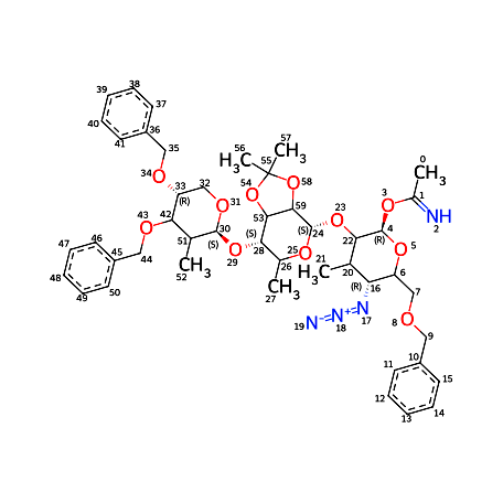 CC(=N)O[C@H]1OC(COCc2ccccc2)[C@H](N=[N+]=[N-])C(C)C1O[C@@H]1OC(C)[C@H](O[C@@H]2OC[C@@H](OCc3ccccc3)C(OCc3ccccc3)C2C)C2OC(C)(C)OC21